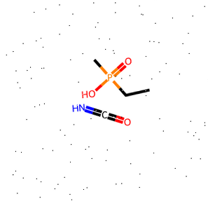 CCP(C)(=O)O.N=C=O